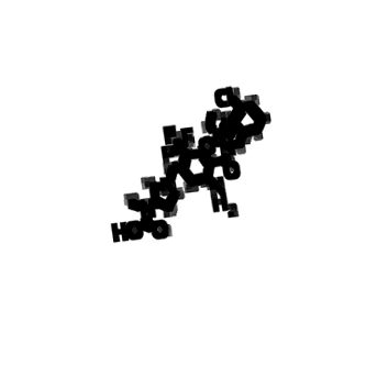 CCS(=O)(=O)N(Cc1cccc(Cl)c1)C(=O)c1cc(C(F)(F)F)c(CN2CCC(N(C)C(=O)O)C2)cc1N